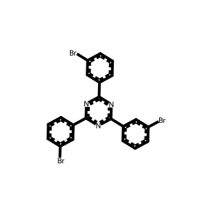 Brc1cccc(-c2nc(-c3cccc(Br)c3)nc(-c3cccc(Br)c3)n2)c1